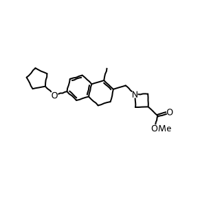 COC(=O)C1CN(CC2=C(C)c3ccc(OC4CCCC4)cc3CC2)C1